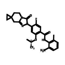 Cc1cccc(N)c1NC(=O)c1cc(F)c(-n2nc3n(c2=O)CCC2(CC2)C3)cc1O[C@@H](C)C(F)(F)F